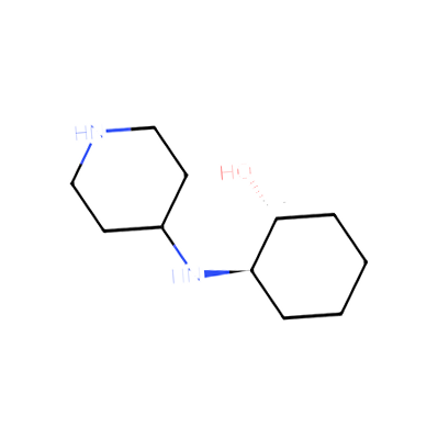 O[C@@H]1CCCC[C@H]1NC1CCNCC1